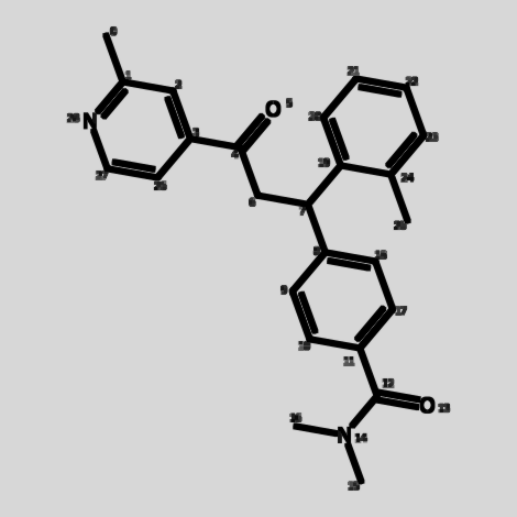 Cc1cc(C(=O)CC(c2ccc(C(=O)N(C)C)cc2)c2ccccc2C)ccn1